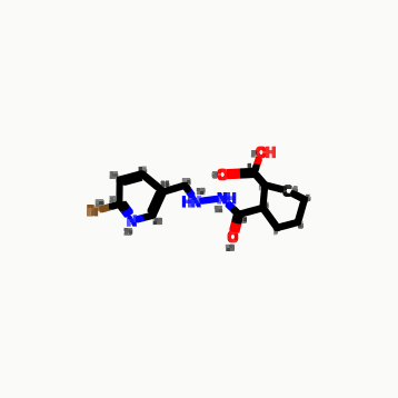 O=C(O)C1CCCCC1C(=O)NNCc1ccc(Br)nc1